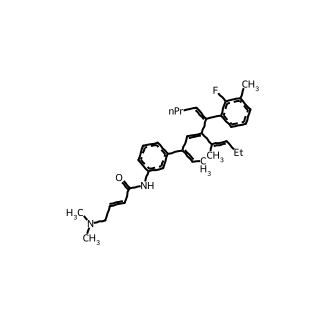 C\C=C(/C=C(C(\C)=C\CC)/C(=C\CCC)c1cccc(C)c1F)c1cccc(NC(=O)/C=C/CN(C)C)c1